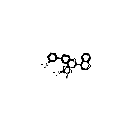 CN1O[C@@]2(C[C@H](C3CCOc4ccccc43)Oc3ccc(-c4cccc(N)c4)cc32)N=C1N